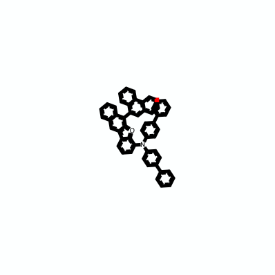 c1ccc(-c2ccc(N(c3ccc(-c4ccccc4)cc3)c3cccc4c3oc3c(-c5cc6ccccc6c6ccccc56)c5ccccc5cc34)cc2)cc1